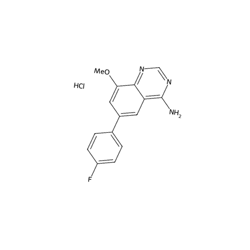 COc1cc(-c2ccc(F)cc2)cc2c(N)ncnc12.Cl